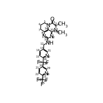 C[C@H]1C(=O)N2CCCc3nc(NCc4ccc(C(F)(F)c5ccc(C(F)(F)F)nc5)nc4)nc(c32)N1C